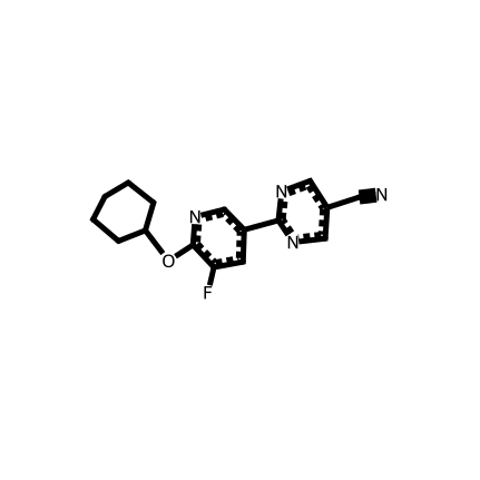 N#Cc1cnc(-c2cnc(OC3CCCCC3)c(F)c2)nc1